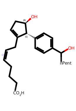 CCCCCC(O)c1ccc([C@@H]2C(C/C=C\CCCC(=O)O)=CC[C@H]2O)cc1